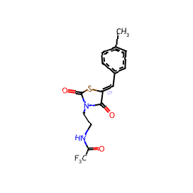 Cc1ccc(/C=C2\SC(=O)N(CCNC(=O)C(F)(F)F)C2=O)cc1